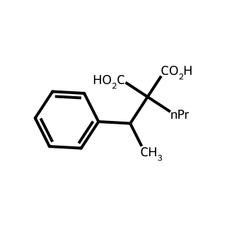 CCCC(C(=O)O)(C(=O)O)C(C)c1ccccc1